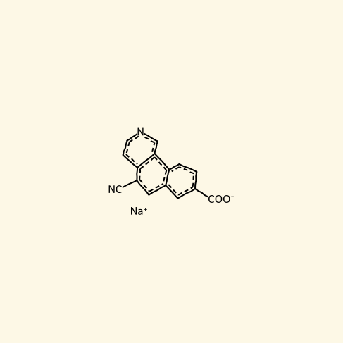 N#Cc1cc2cc(C(=O)[O-])ccc2c2cnccc12.[Na+]